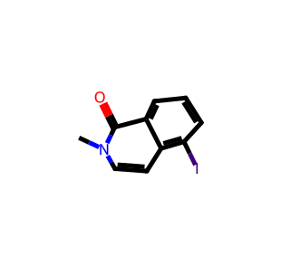 Cn1ccc2c(I)cccc2c1=O